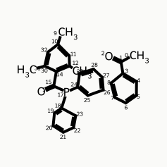 CC(=O)c1ccccc1.Cc1cc(C)c(C(=O)P(c2ccccc2)c2ccccc2)c(C)c1